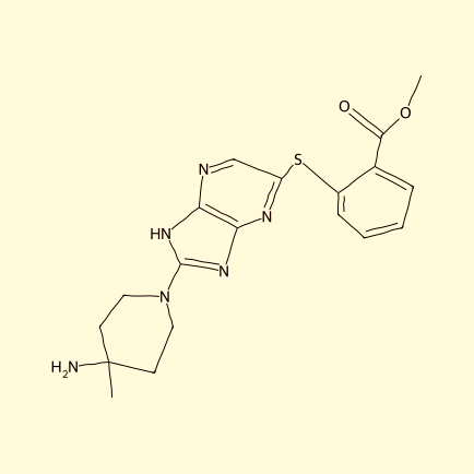 COC(=O)c1ccccc1Sc1cnc2[nH]c(N3CCC(C)(N)CC3)nc2n1